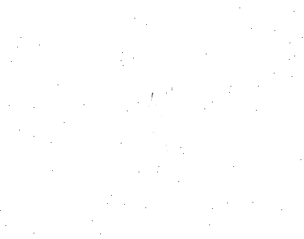 CC(=O)N1CCO[C@@H](CN)C1